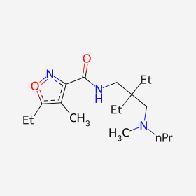 CCCN(C)CC(CC)(CC)CNC(=O)c1noc(CC)c1C